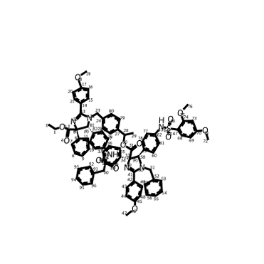 CCOC(=O)[C@]1(c2ccccc2)N=C(c2ccc(OC)cc2)N(Cc2ccc(C(C)OC(=O)[C@]3(c4ccccc4)N=C(c4ccc(OC)cc4)N(Cc4ccccc4)[C@@H]3c3ccc(NS(=O)(=O)c4ccc(OC)cc4OC)cc3)cc2)[C@@H]1c1ccc(NS(=O)(=O)Cc2ccccc2)cc1